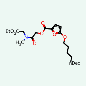 CCCCCCCCCCCCCCOc1ccc(C(=O)OCC(=O)N(C)CC(=O)OCC)o1